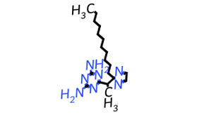 CCCCCCCCCCCC1(C(C)c2nc(N)nc(N)n2)N=CC=N1